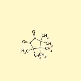 CC1(C)C(=O)C(=O)C(C)(C)C1(C)C